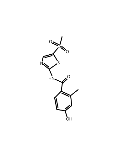 Cc1cc(O)ccc1C(=O)Nc1ncc(S(C)(=O)=O)s1